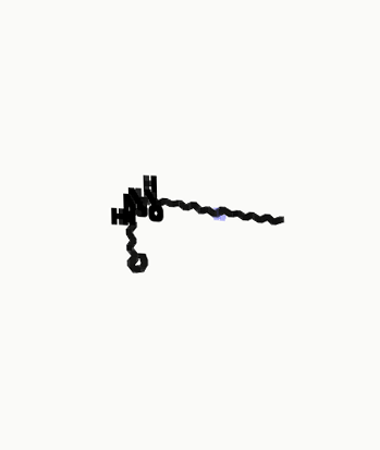 CCCCCCCC/C=C/CCCCCCCC(=O)Nc1nnc(NCCCCc2ccccc2)s1